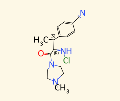 C[C@@H](c1ccc(C#N)cc1)[C@@H](NCl)C(=O)N1CCN(C)CC1